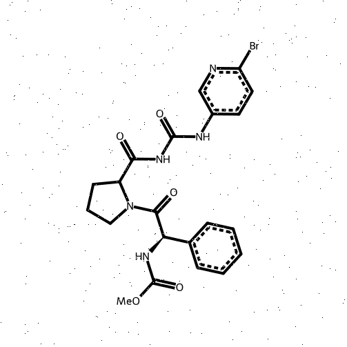 COC(=O)N[C@@H](C(=O)N1CCCC1C(=O)NC(=O)Nc1ccc(Br)nc1)c1ccccc1